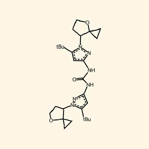 CC(C)(C)c1cc(NC(=O)Nc2cc(C(C)(C)C)n(C3CCOC34CC4)n2)nn1C1CCOC12CC2